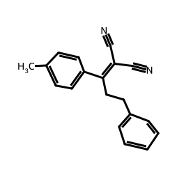 Cc1ccc(C(CCc2ccccc2)=C(C#N)C#N)cc1